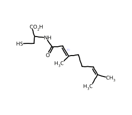 CC(C)=CCC/C(C)=C/C(=O)NC(CS)C(=O)O